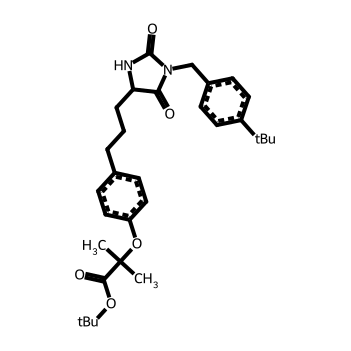 CC(C)(C)OC(=O)C(C)(C)Oc1ccc(CCCC2NC(=O)N(Cc3ccc(C(C)(C)C)cc3)C2=O)cc1